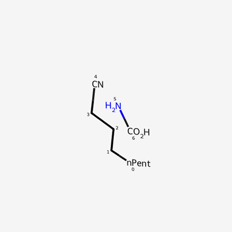 CCCCCCCCC#N.NC(=O)O